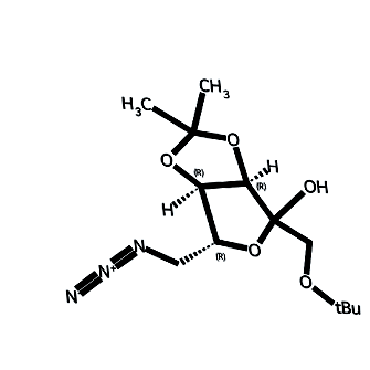 CC(C)(C)OCC1(O)O[C@H](CN=[N+]=[N-])[C@H]2OC(C)(C)O[C@H]21